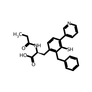 CCC(=O)N[C@@H](Cc1ccc(-c2cccnc2)c(S)c1Cc1ccccc1)C(=O)O